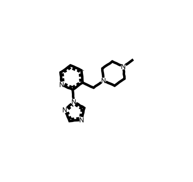 CN1CCN(Cc2[c]ccnc2-n2cncn2)CC1